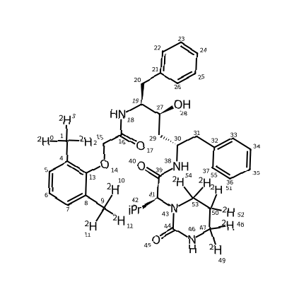 [2H]C([2H])([2H])c1cccc(C([2H])([2H])[2H])c1OCC(=O)N[C@@H](Cc1ccccc1)[C@@H](O)C[C@H](Cc1ccccc1)NC(=O)[C@H](C(C)C)N1C(=O)NC([2H])([2H])C([2H])([2H])C1([2H])[2H]